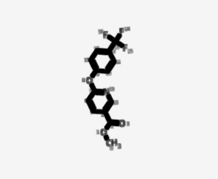 COC(=O)c1ccc(Oc2ccc(C(F)(F)F)cc2)nc1